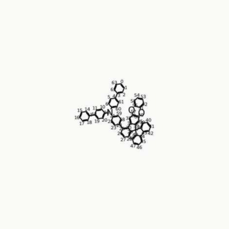 c1ccc(-c2ccc(N(c3ccc(-c4ccccc4)cc3)c3ccc(-c4cccc5c4-c4cc6c(cc4C54c5ccccc5-c5ccccc54)Oc4ccccc4O6)cc3)cc2)cc1